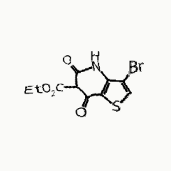 CCOC(=O)C1C(=O)Nc2c(Br)csc2C1=O